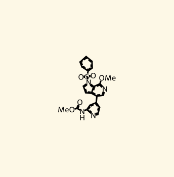 COC(=O)Nc1cc(-c2cnc(OC)c3c2ccn3S(=O)(=O)c2ccccc2)ccn1